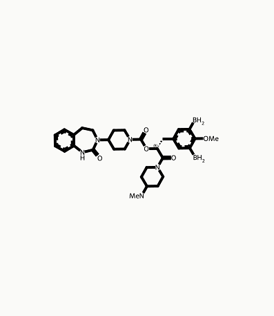 Bc1cc(C[C@@H](OC(=O)N2CCC(N3CCc4ccccc4NC3=O)CC2)C(=O)N2CCC(NC)CC2)cc(B)c1OC